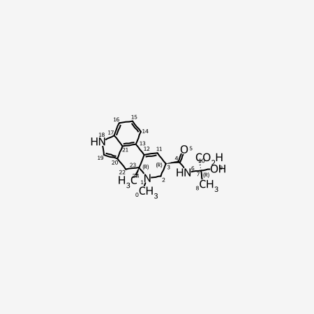 CN1C[C@H](C(=O)N[C@](C)(O)C(=O)O)C=C2c3cccc4[nH]cc(c34)C[C@]21C